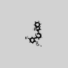 COc1ccc(Br)cc1-c1cccc(-c2cc3ccccc3[nH]2)n1